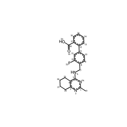 Cc1nc2c(c(NCc3ccc(-c4ccccc4C(=O)O)cc3F)n1)CCCC2